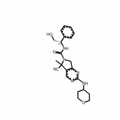 CC1(C#N)c2cnc(NC3CCOCC3)nc2CN1C(=O)N[C@H](CO)c1ccccc1